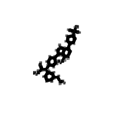 CCS(=O)(=O)c1ccc(-c2cnc(N)c3c(-c4ccc(N(C(N)=O)c5cccc(CN)c5)cc4)csc23)cc1